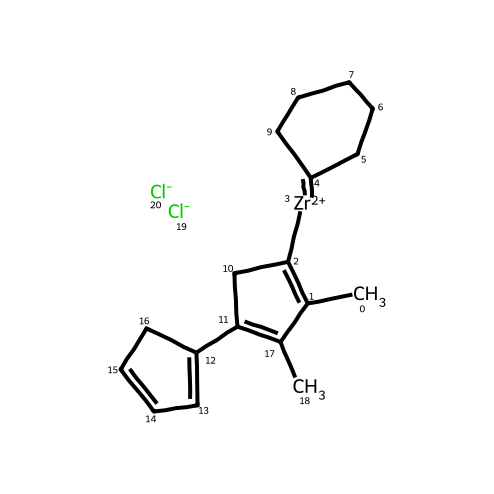 CC1=[C]([Zr+2]=[C]2CCCCC2)CC(C2=CC=CC2)=C1C.[Cl-].[Cl-]